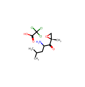 CC(C)CC(N)C(=O)[C@@]1(C)CO1.O=C(O)C(Cl)(Cl)Cl